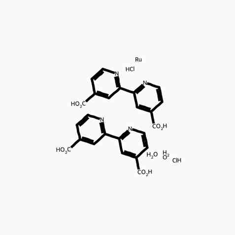 Cl.Cl.O.O.O=C(O)c1ccnc(-c2cc(C(=O)O)ccn2)c1.O=C(O)c1ccnc(-c2cc(C(=O)O)ccn2)c1.[Ru]